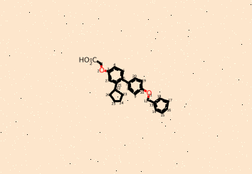 O=C(O)COc1ccc(-c2ccc(OCc3ccccc3)cc2)c(C2CCCC2)c1